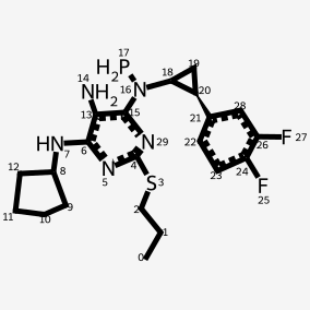 CCCSc1nc(NC2CCCC2)c(N)c(N(P)C2C[C@H]2c2ccc(F)c(F)c2)n1